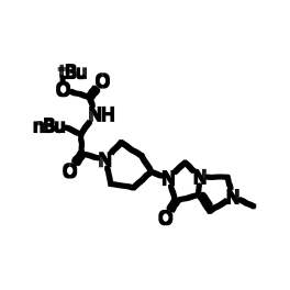 CCCCC(NC(=O)OC(C)(C)C)C(=O)N1CCC(N2CN3CN(C)C=C3C2=O)CC1